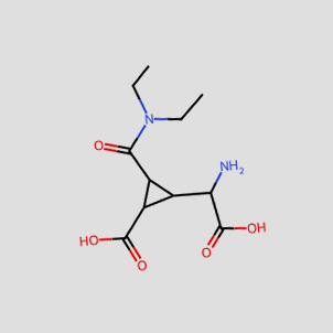 CCN(CC)C(=O)C1C(C(=O)O)C1C(N)C(=O)O